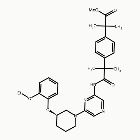 CCOc1ccccc1O[C@@H]1CCCN(c2cncc(NC(=O)C(C)(C)c3ccc(C(C)(C)C(=O)OC)cc3)n2)C1